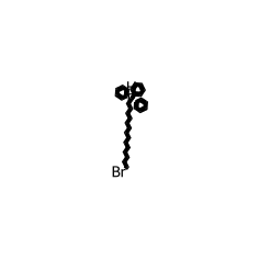 BrCCCCCCCCCCCCCC[PH](c1ccccc1)(c1ccccc1)c1ccccc1